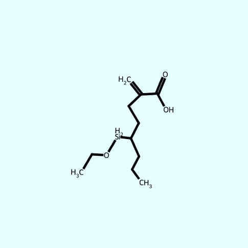 C=C(CCC(CCC)[SiH2]OCC)C(=O)O